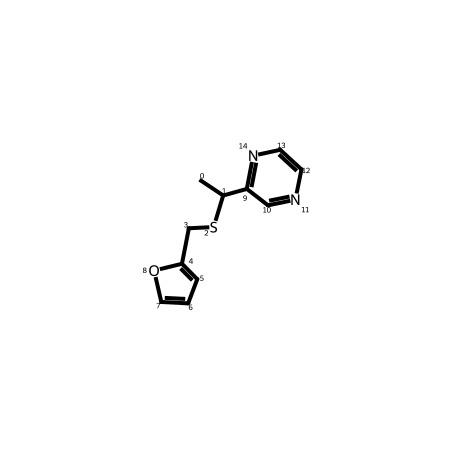 CC(SCc1ccco1)c1cnccn1